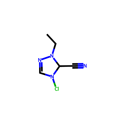 CCN1N=CN(Cl)C1C#N